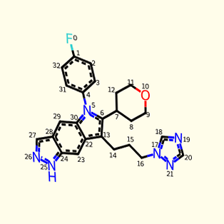 Fc1ccc(-n2c(C3CCOCC3)c(CCCn3cncn3)c3cc4[nH]ncc4cc32)cc1